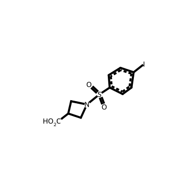 O=C(O)C1CN(S(=O)(=O)c2ccc(I)cc2)C1